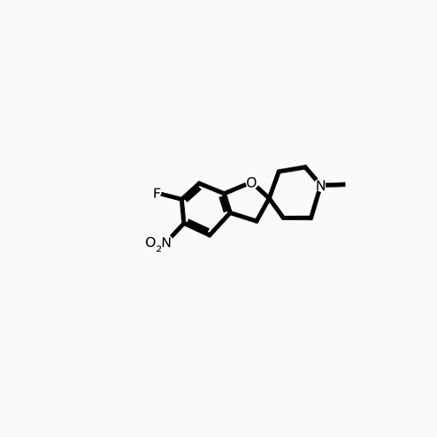 CN1CCC2(CC1)Cc1cc([N+](=O)[O-])c(F)cc1O2